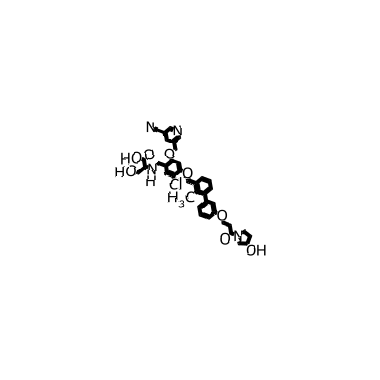 Cc1c(COc2cc(OCc3cncc(C#N)c3)c(CNC(CO)C(=O)O)cc2Cl)cccc1-c1cccc(OCCC(=O)N2CCC(O)C2)c1